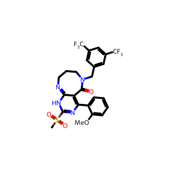 COc1ccccc1C1=C2C(=O)N(Cc3cc(C(F)(F)F)cc(C(F)(F)F)c3)CCCN=C2NC(S(C)(=O)=O)=N1